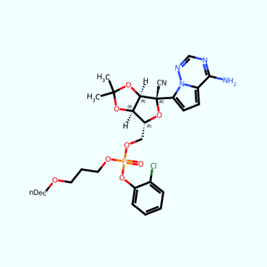 CCCCCCCCCCOCCCOP(=O)(OC[C@H]1O[C@@](C#N)(c2ccc3c(N)ncnn23)[C@@H]2OC(C)(C)O[C@@H]21)Oc1ccccc1Cl